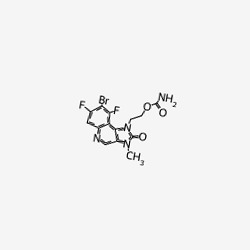 Cn1c(=O)n(CCOC(N)=O)c2c3c(F)c(Br)c(F)cc3ncc21